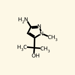 Cn1nc(N)cc1C(C)(C)O